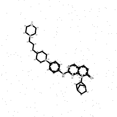 O=c1ccc2cnc(Nc3ccc(N4CCC(CCCN5CCOCC5)CC4)cc3)nc2n1C1CC2CCC1C2